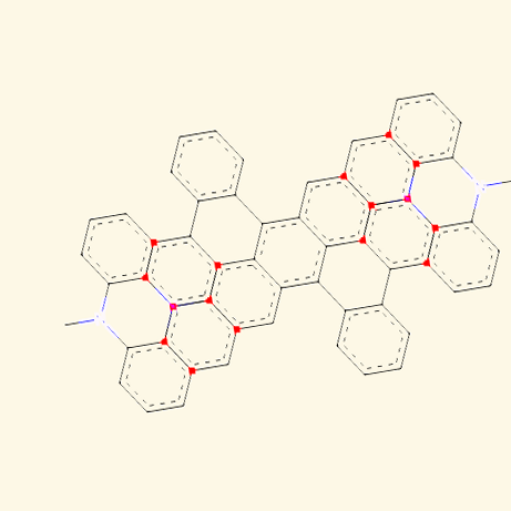 CN1c2ccccc2N(c2ccc3c(-c4ccccc4-c4ccc5ccccc5c4)c4cc(N5c6ccccc6N(C)c6ccccc65)ccc4c(-c4ccccc4-c4ccc5ccccc5c4)c3c2)c2ccccc21